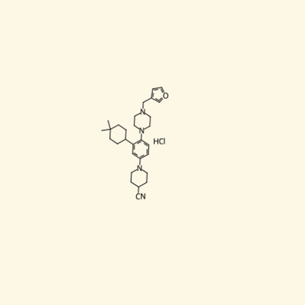 CC1(C)CCC(c2cc(N3CCC(C#N)CC3)ccc2N2CCN(Cc3ccoc3)CC2)CC1.Cl